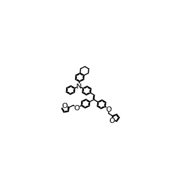 C(=C(c1ccc(OCc2ccco2)cc1)c1ccc(OCc2ccco2)cc1)c1ccc(N(c2ccccc2)c2ccc3c(c2)CCCC3)cc1